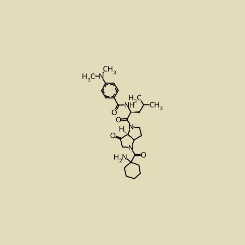 CC(C)C[C@H](NC(=O)c1ccc(N(C)C)cc1)C(=O)N1CCC2[C@H]1C(=O)CN2C(=O)C1(N)CCCCC1